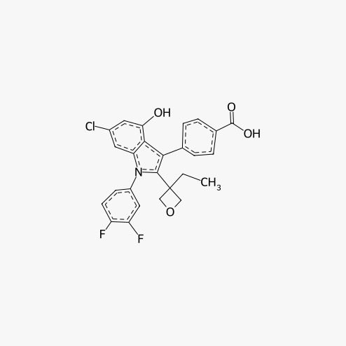 CCC1(c2c(-c3ccc(C(=O)O)cc3)c3c(O)cc(Cl)cc3n2-c2ccc(F)c(F)c2)COC1